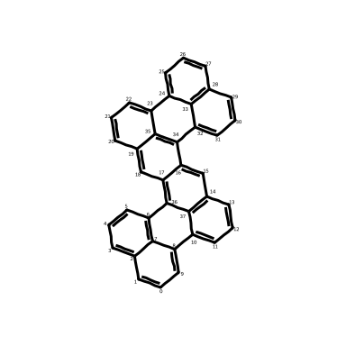 c1cc2cccc3c2c(c1)c1cccc2cc4c(cc5cccc6c7cccc8cccc(c87)c4c56)c3c21